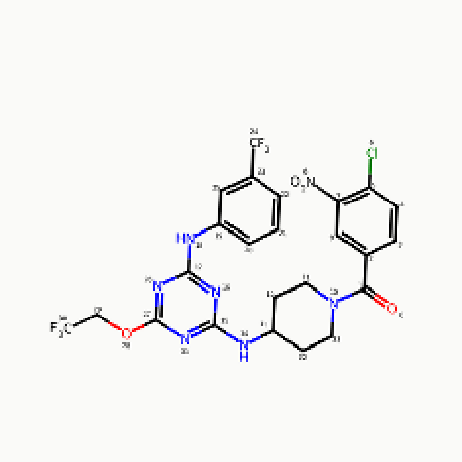 O=C(c1ccc(Cl)c([N+](=O)[O-])c1)N1CCC(Nc2nc(Nc3cccc(C(F)(F)F)c3)nc(OCC(F)(F)F)n2)CC1